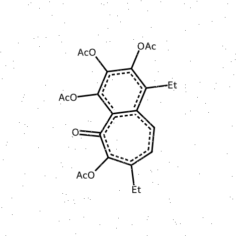 CCc1ccc2c(CC)c(OC(C)=O)c(OC(C)=O)c(OC(C)=O)c2c(=O)c1OC(C)=O